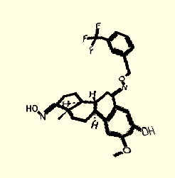 COc1cc2c(cc1O)/C(=N/OCc1cccc(C(F)(F)F)c1)C[C@@H]1[C@@H]2CC[C@]2(C)/C(=N/O)CC[C@@H]12